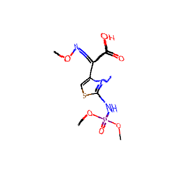 CO/N=C(/C(=O)O)c1csc(NP(=O)(OC)OC)n1